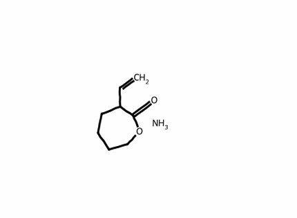 C=CC1CCCCOC1=O.N